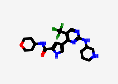 O=C(NC1CCOCC1)c1cc(-c2nc(NC3CCCNC3)ncc2C(F)(F)F)c[nH]1